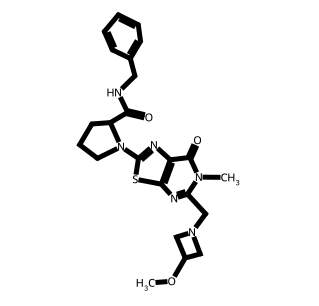 COC1CN(Cc2nc3sc(N4CCCC4C(=O)NCc4ccccc4)nc3c(=O)n2C)C1